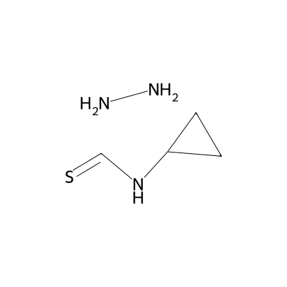 NN.S=CNC1CC1